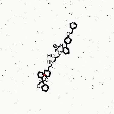 O=PC(Oc1ccc(CCNCC(O)COc2cccc(-c3ccc(OCc4ccccc4)cc3)c2N=S(=O)=O)cc1)(c1ccccc1)c1ccccc1